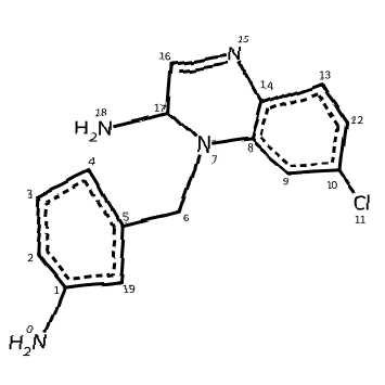 Nc1cccc(CN2c3cc(Cl)ccc3N=CC2N)c1